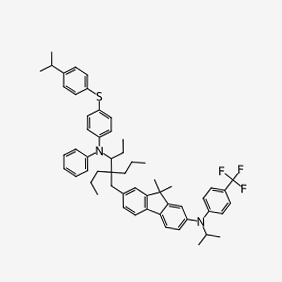 CCCC(CCC)(Cc1ccc2c(c1)C(C)(C)c1cc(N(c3ccc(C(F)(F)F)cc3)C(C)C)ccc1-2)C(CC)N(c1ccccc1)c1ccc(Sc2ccc(C(C)C)cc2)cc1